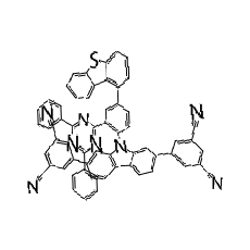 N#Cc1cc(C#N)cc(-c2ccc3c4ccc(-c5cc(C#N)cc(C#N)c5)cc4n(-c4ccc(-c5cccc6sc7ccccc7c56)cc4-c4nc(-c5ccccc5)nc(-c5ccccc5)n4)c3c2)c1